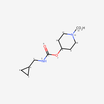 O=C(NCC1CC1)OC1CCN(C(=O)O)CC1